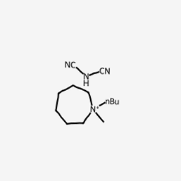 CCCC[N+]1(C)CCCCCC1.N#CNC#N